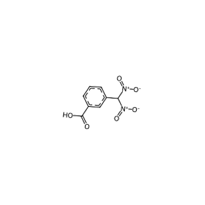 O=C(O)c1cccc(C([N+](=O)[O-])[N+](=O)[O-])c1